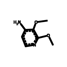 COc1nccc(N)c1OC